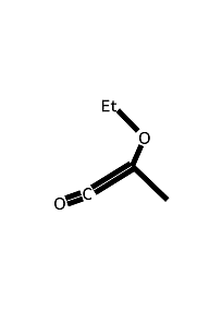 [CH2]COC(C)=C=O